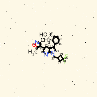 Cc1noc(C)c1-c1cnc2c(c1)c(-c1cccc(C(=O)O)c1)cn2CC1CC(F)(F)C1